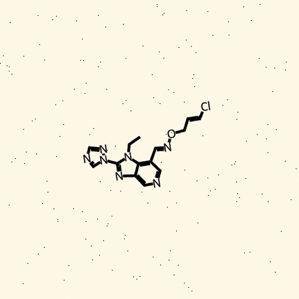 CCn1c(-n2cncn2)nc2cncc(C=NOCC=CCl)c21